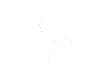 COC(=O)c1ccc(OCCCN(Cc2cccc(C(F)(F)F)c2Cl)CC(C)c2ccc(F)cc2)cc1S(C)(=O)=O